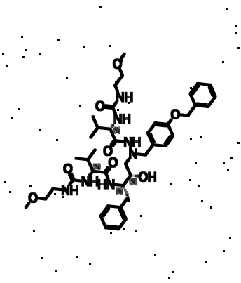 COCCNC(=O)N[C@H](C(=O)N[C@@H](Cc1ccccc1)[C@@H](O)CN(Cc1ccc(OCc2ccccc2)cc1)NC(=O)[C@@H](NC(=O)NCCOC)C(C)C)C(C)C